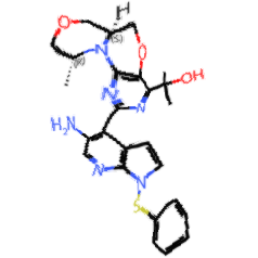 C[C@@H]1COC[C@H]2COc3c(nc(-c4c(N)cnc5c4ccn5Sc4ccccc4)nc3C(C)(C)O)N21